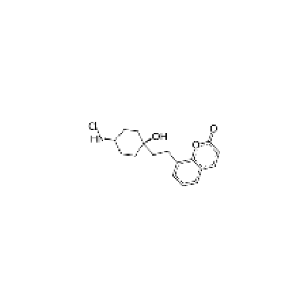 O=c1ccc2cccc(CC[C@]3(O)CC[C@@H](NCl)CC3)c2o1